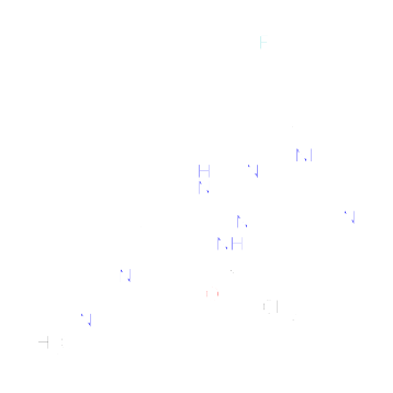 C=CC(=O)Nc1cc(N2CCN(C)CC2)ccc1Nc1ncc(C#N)c(Nc2ccc(F)cc2)n1